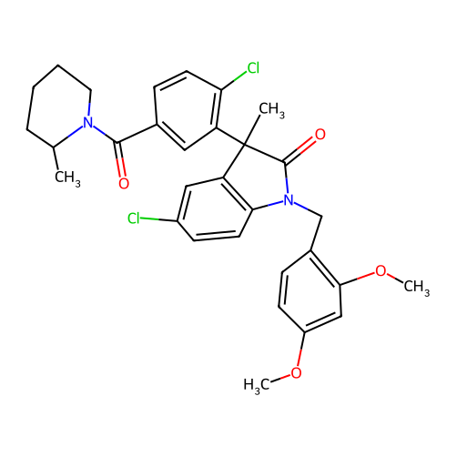 COc1ccc(CN2C(=O)C(C)(c3cc(C(=O)N4CCCCC4C)ccc3Cl)c3cc(Cl)ccc32)c(OC)c1